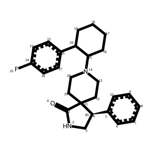 O=C1NC[C@H](c2ccccc2)C12CCN(C1CCCCC1c1ccc(F)cc1)CC2